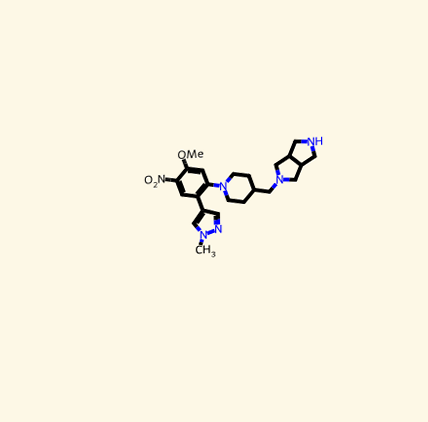 COc1cc(N2CCC(CN3CC4CNCC4C3)CC2)c(-c2cnn(C)c2)cc1[N+](=O)[O-]